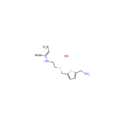 Br.CNC(=C[N+](=O)[O-])NCCSCc1ccc(CN)s1